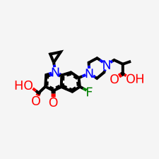 CC(CN1CCN(c2cc3c(cc2F)c(=O)c(C(=O)O)cn3C2CC2)CC1)C(=O)O